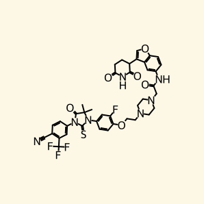 CC1(C)C(=O)N(c2ccc(C#N)c(C(F)(F)F)c2)C(=S)N1c1ccc(OCCN2CCN(CC(=O)Nc3ccc4occ(C5CCC(=O)NC5=O)c4c3)CC2)c(F)c1